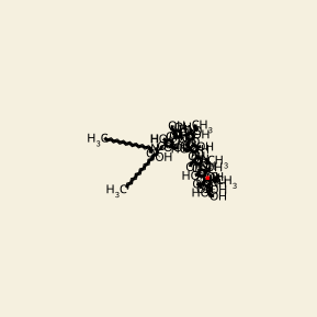 CCCCCCCCCCCCC/C=C/[C@@H](O)[C@H](CO[C@@H]1OC(CO)[C@@H](O[C@@H]2OC(CO)[C@H](O)[C@H](O[C@@H]3OC(CO)[C@@H](O[C@@H]4OC(CO)[C@H](O)[C@H](O[C@H]5OC(CO)[C@@H](O[C@@H]6OC(CO)[C@H](O)[C@H](O[C@]7(C(=O)O)CC(O)[C@@H](NC(C)=O)C([C@H](O)[C@H](O)CO)O7)C6O)[C@H](O)C5NC(C)=O)C4O)[C@H](O)C3NC(C)=O)C2O)[C@H](O)C1O)NC(=O)CCCCCCCCCCCCCCC